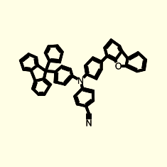 N#Cc1ccc(N(c2ccc(-c3cccc4c3oc3ccccc34)cc2)c2ccc(C3(c4ccccc4)c4ccccc4-c4ccccc43)cc2)cc1